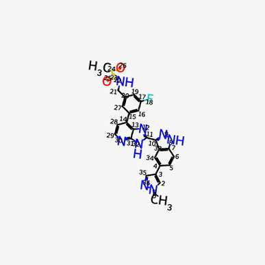 Cn1cc(-c2ccc3[nH]nc(-c4nc5c(-c6cc(F)cc(CNS(C)(=O)=O)c6)ccnc5[nH]4)c3c2)cn1